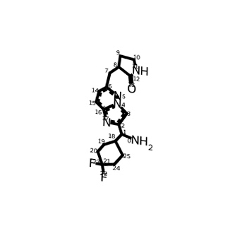 NC(c1cn2nc(CC3CCNC3=O)ccc2n1)C1CCC(F)(F)CC1